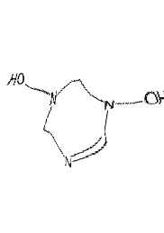 ON1C=NCN(O)C1